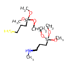 CNCCC[Si](OC)(OC)OC.CO[Si](CCCS)(OC)OC